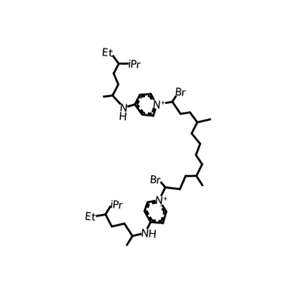 CCC(CCC(C)Nc1cc[n+](C(Br)CCC(C)CCCCC(C)CCC(Br)[n+]2ccc(NC(C)CCC(CC)C(C)C)cc2)cc1)C(C)C